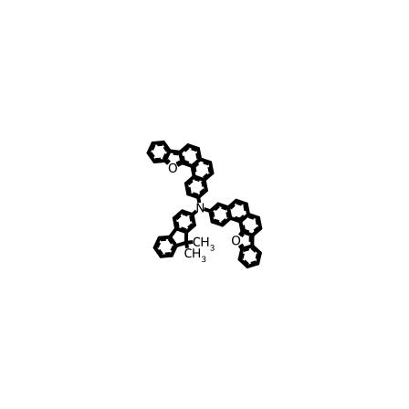 CC1(C)c2ccccc2-c2ccc(N(c3ccc4c(ccc5ccc6c7ccccc7oc6c54)c3)c3ccc4c(ccc5ccc6c7ccccc7oc6c54)c3)cc21